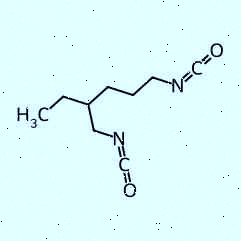 CCC(CCCN=C=O)CN=C=O